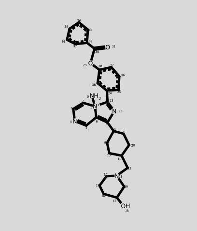 N[N+]12C=CN=CC1=C(C1CCC(CN3CCCC(O)C3)CC1)N=C2c1cccc(OC(=O)c2ccccc2)c1